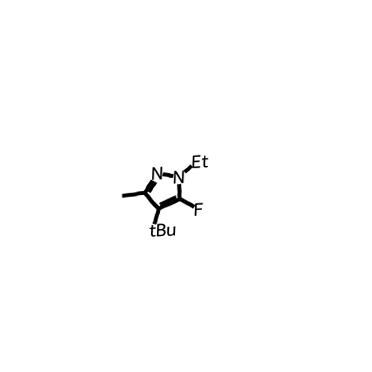 CCn1nc(C)c(C(C)(C)C)c1F